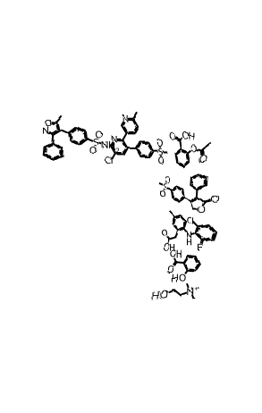 CC(=O)Oc1ccccc1C(=O)O.CS(=O)(=O)c1ccc(C2=C(c3ccccc3)C(=O)OC2)cc1.C[N+](C)(C)CCO.Cc1ccc(-c2ncc(Cl)cc2-c2ccc(S(C)(=O)=O)cc2)cn1.Cc1ccc(Nc2c(F)cccc2Cl)c(CC(=O)O)c1.Cc1onc(-c2ccccc2)c1-c1ccc(S(N)(=O)=O)cc1.O=C(O)c1ccccc1O